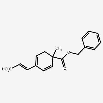 CC1(C(=O)OCc2ccccc2)C=CC(C=CC(=O)O)=CC1